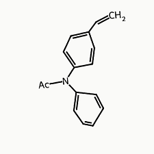 C=Cc1ccc(N(C(C)=O)c2ccccc2)cc1